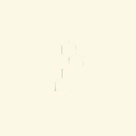 CC1CCC(C(C)C)C(OC(=O)CC(O)C(=O)O)C1